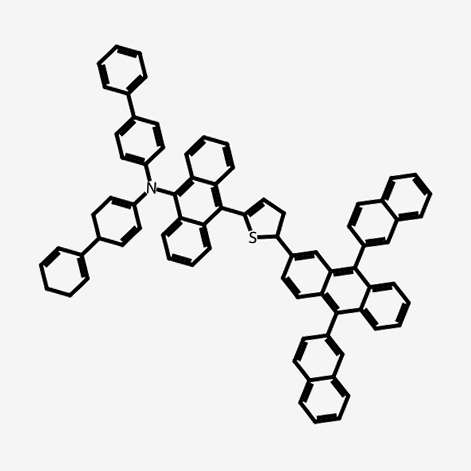 C1=CC(C2C=CC(N(c3ccc(-c4ccccc4)cc3)c3c4ccccc4c(C4=CCC(c5ccc6c(-c7ccc8ccccc8c7)c7ccccc7c(-c7ccc8ccccc8c7)c6c5)S4)c4ccccc34)=CC2)=CCC1